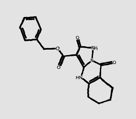 O=C(OCc1ccccc1)c1c(=O)[nH]n2c(=O)c3c([nH]c12)CCCC3